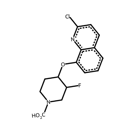 O=C(O)N1CCC(Oc2cccc3ccc(Cl)nc23)C(F)C1